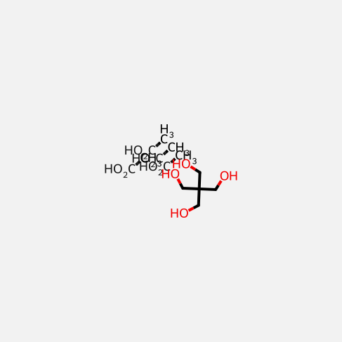 CC(=O)O.CC(=O)O.CC(=O)O.CC(=O)O.OCC(CO)(CO)CO